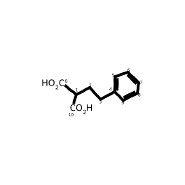 O=C(O)C(CCc1ccccc1)C(=O)O